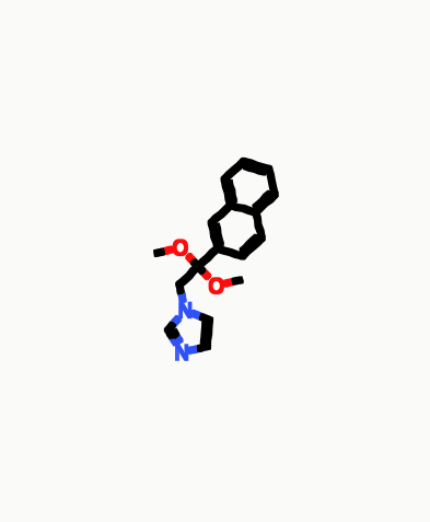 COC(Cn1ccnc1)(OC)c1ccc2ccccc2c1